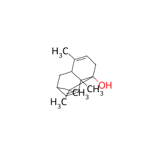 CC1=CCC2(O)C(C)(C)C3C=CC2(C)C1C3